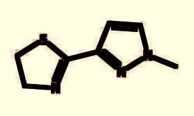 Cn1ccc(C2=NCCS2)n1